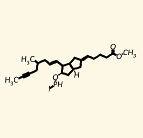 CC#CCC(C)C/C=C/C1C2CC(=CCCCC(=O)OC)C[C@H]2C[C@H]1OPI